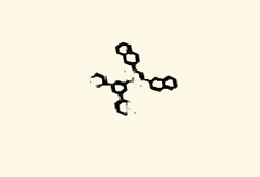 C1=CC(c2cc(C3=CCCN=C3)cc(-c3nc(-c4ccc5ccccc5c4)cc(-c4ccc5ccccc5c4)n3)c2)CN=C1